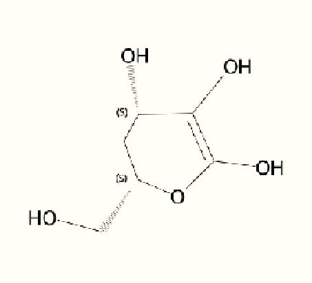 OC[C@@H]1C[C@H](O)C(O)=C(O)O1